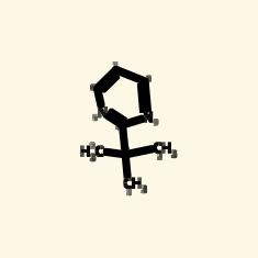 CC(C)(C)c1n[c]ccn1